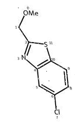 COCc1nc2cc(Cl)ccc2s1